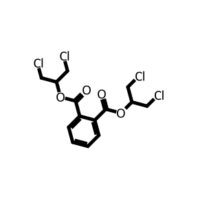 O=C(OC(CCl)CCl)c1ccccc1C(=O)OC(CCl)CCl